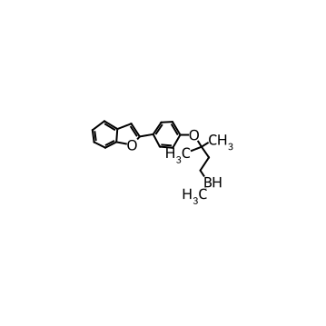 CBCCC(C)(C)Oc1ccc(-c2cc3ccccc3o2)cc1